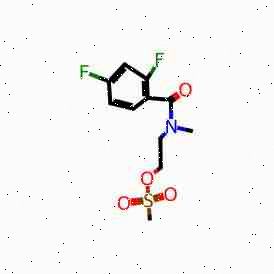 CN(CCOS(C)(=O)=O)C(=O)c1ccc(F)cc1F